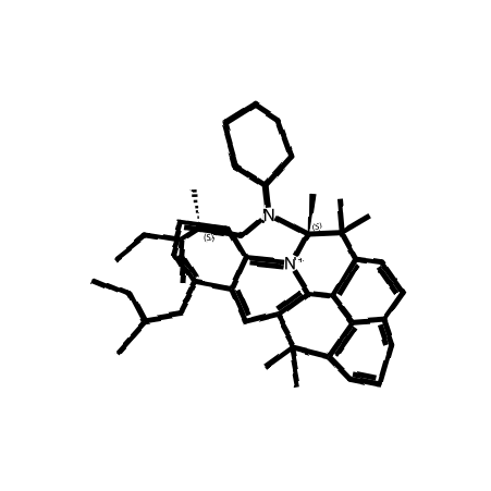 CCC(C)Cc1cccc2c1cc1c3[n+]2[C@](C)(N(C[C@@H](C)C(C)CC)C2CCCCC2)C(C)(C)c2ccc4cccc(c4c2-3)C1(C)C